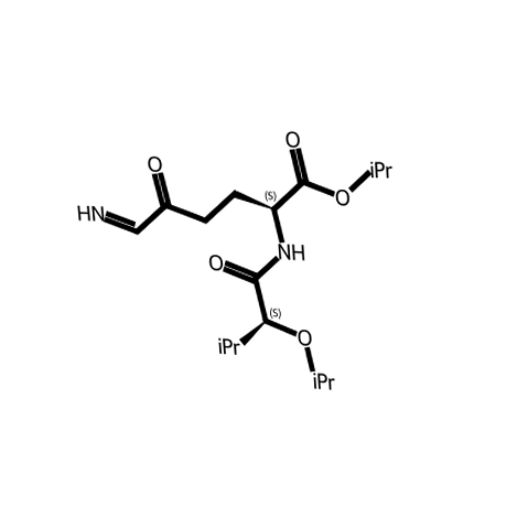 CC(C)OC(=O)[C@H](CCC(=O)C=N)NC(=O)[C@@H](OC(C)C)C(C)C